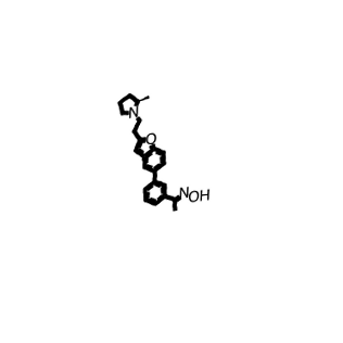 CC(=NO)c1cccc(-c2ccc3oc(CCN4CCC[C@H]4C)cc3c2)c1